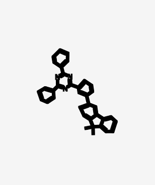 CC1(C)c2ccccc2-c2cc(-c3cccc(-c4nc(-c5ccccc5)nc(-c5ccccc5)n4)c3)ccc21